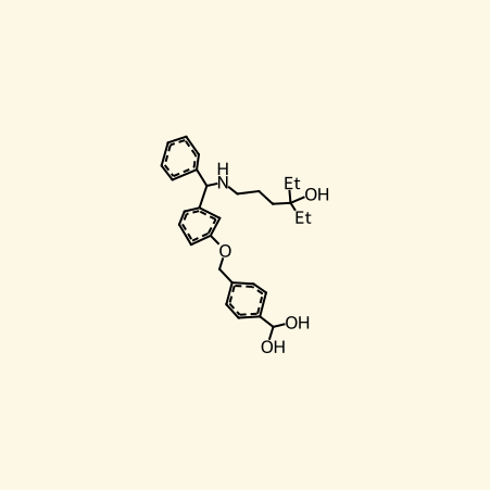 CCC(O)(CC)CCCNC(c1ccccc1)c1cccc(OCc2ccc(C(O)O)cc2)c1